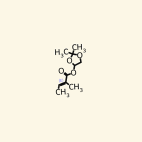 C/C=C(\C)C(=O)OC1COC(C)(C)O1